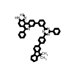 CC1(C)c2ccccc2-c2ccc(-c3ccc(-c4nc(-c5ccccc5)nc(-c5cccc(-c6ccc7c8c(c(-c9ccccc9)nc7c6)C=CC(=N)/C8=N\S)c5)n4)cc3)cc21